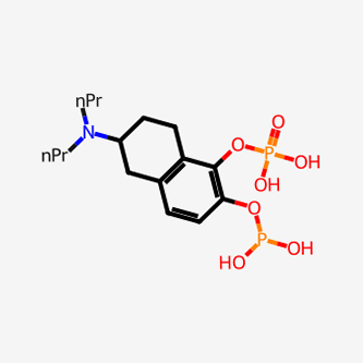 CCCN(CCC)C1CCc2c(ccc(OP(O)O)c2OP(=O)(O)O)C1